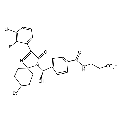 CCC1CCC2(CC1)N=C(c1cccc(Cl)c1F)C(=O)N2[C@H](C)c1ccc(C(=O)NCCC(=O)O)cc1